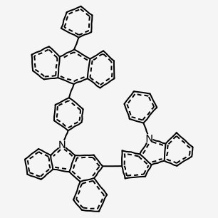 c1ccc(-c2c3ccccc3c(-c3ccc(-n4c5ccccc5c5c6ccccc6c(-c6ccc7c8ccccc8n(-c8ccccc8)c7c6)cc54)cc3)c3ccccc23)cc1